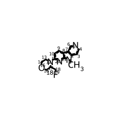 Cn1c2ccncc2c2ccc(N3CCOCC3C[18F])nc21